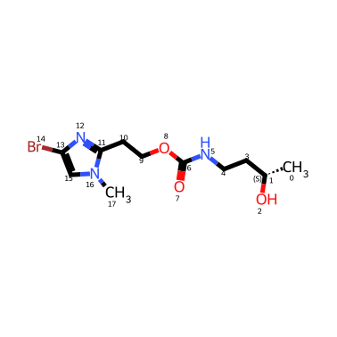 C[C@H](O)CCNC(=O)OCCc1nc(Br)cn1C